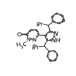 CC(C)C(c1ccccc1)c1n[nH]c(C(c2ccccc2)C(C)C)c1-c1ccc(=O)n(C)n1